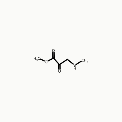 CBCC(=O)C(=O)OC